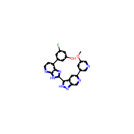 COc1cncc(-c2cc3c(-c4nc5c(-c6cc(O)cc(F)c6)ccnc5[nH]4)[nH]nc3cn2)c1